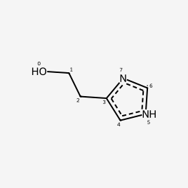 OCCc1c[nH][c]n1